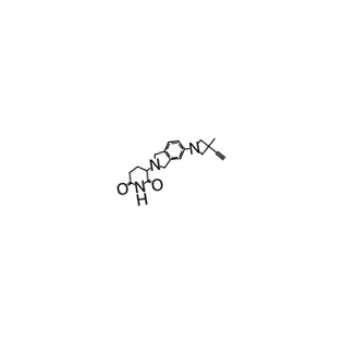 C#CC1(C)CN(c2ccc3c(c2)CN(C2CCC(=O)NC2=O)C3)C1